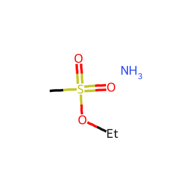 CCOS(C)(=O)=O.N